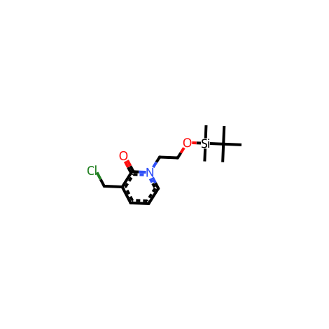 CC(C)(C)[Si](C)(C)OCCn1cccc(CCl)c1=O